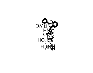 COc1ccccc1C(=O)N[C@H](C(=O)NC1C(=O)N2C(C(=O)O)=C(CSc3nnnn3C)CS[C@@H]12)c1ccccc1